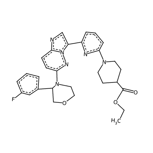 CCOC(=O)C1CCN(c2cccc(-c3cnc4ccc(N5CCOCC5c5cccc(F)c5)nn34)n2)CC1